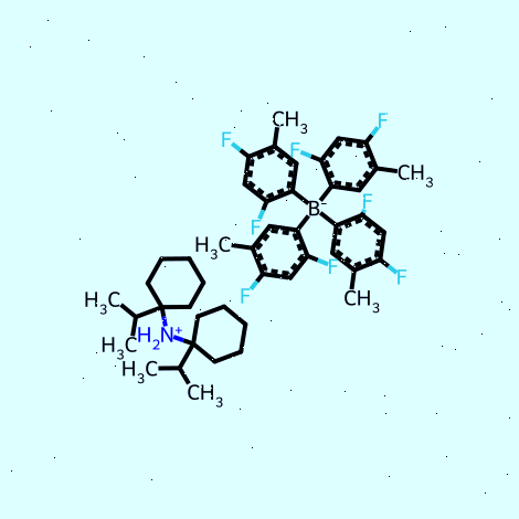 CC(C)C1([NH2+]C2(C(C)C)CCCCC2)CCCCC1.Cc1cc([B-](c2cc(C)c(F)cc2F)(c2cc(C)c(F)cc2F)c2cc(C)c(F)cc2F)c(F)cc1F